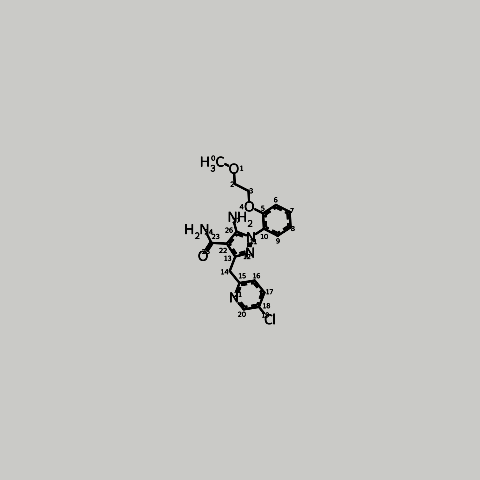 COCCOc1ccccc1-n1nc(Cc2ccc(Cl)cn2)c(C(N)=O)c1N